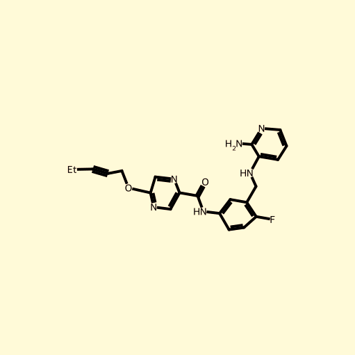 CCC#CCOc1cnc(C(=O)Nc2ccc(F)c(CNc3cccnc3N)c2)cn1